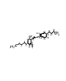 CCCCCc1cc(C)c(C#Cc2ccc(CCCC)cc2)c(F)c1